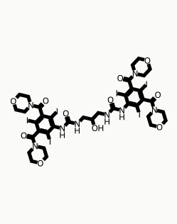 O=C(NCC(O)CNC(=O)Nc1c(I)c(C(=O)N2CCOCC2)c(I)c(C(=O)N2CCOCC2)c1I)Nc1c(I)c(C(=O)N2CCOCC2)c(I)c(C(=O)N2CCOCC2)c1I